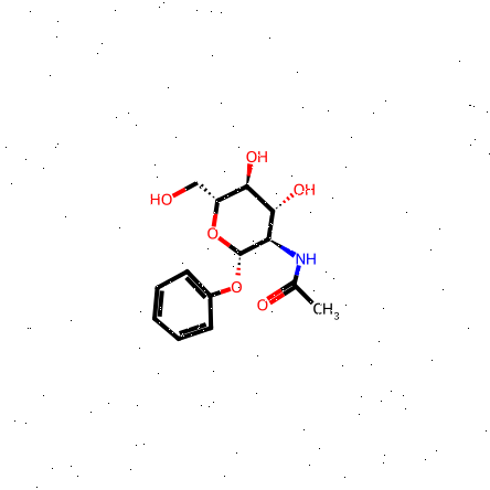 CC(=O)N[C@H]1[C@H](Oc2ccccc2)O[C@H](CO)[C@@H](O)[C@@H]1O